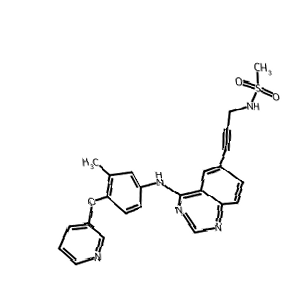 Cc1cc(Nc2ncnc3ccc(C#CCNS(C)(=O)=O)cc23)ccc1Oc1cccnc1